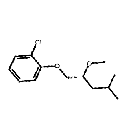 CO[C@@H](COc1ccccc1Cl)CC(C)C